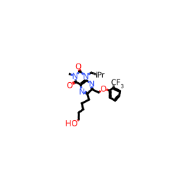 CC(C)Cn1c(=O)n(C)c(=O)c2nc(CCCCCO)c(COc3ccccc3C(F)(F)F)nc21